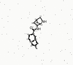 Cc1cc2cc(C(=O)NC3CC4CNC3C4)ccn2c1